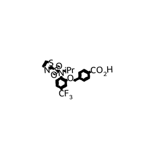 CC(C)N(c1ccc(C(F)(F)F)cc1OCc1ccc(C(=O)O)cc1)S(=O)(=O)c1nccs1